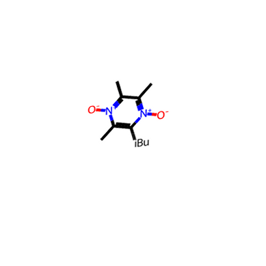 CCC(C)c1c(C)[n+]([O-])c(C)c(C)[n+]1[O-]